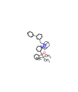 CC(C)(C)[Si](O[C@H]1C2CC3CC(N2)C1N(Cc1cccc(-c2ccccc2)c1)C3)(c1ccccc1)c1ccccc1